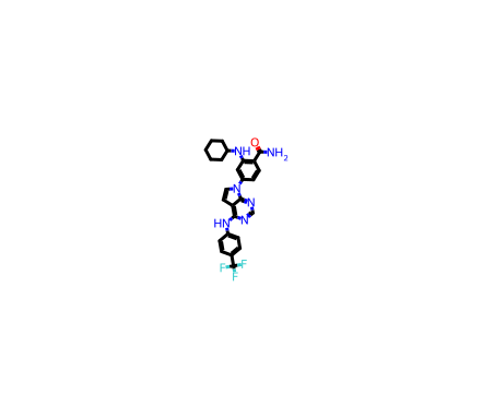 NC(=O)c1ccc(-n2ccc3c(Nc4ccc(C(F)(F)F)cc4)ncnc32)cc1NC1CCCCC1